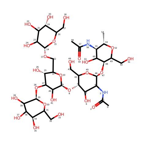 CC(=O)NC1C(O)[C@H](O[C@@H]2OC(CO[C@H]3OC(CO)[C@@H](O)C(O)C3O)[C@@H](O)C(O[C@H]3OC(CO)[C@@H](O)C(O)C3O)C2O)C(CO)O[C@H]1O[C@@H]1C(CO)O[C@@H](C)[C@H](NC(C)=O)C1O